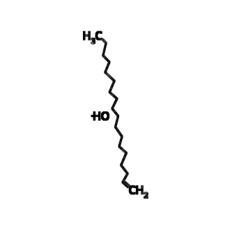 C=CCCCCCCCCCCCCCCCC.[OH]